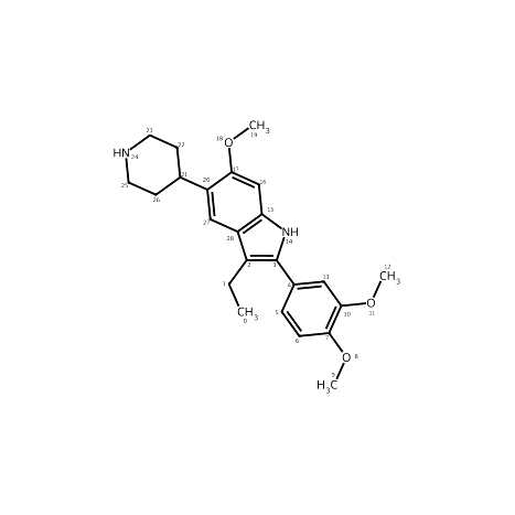 CCc1c(-c2ccc(OC)c(OC)c2)[nH]c2cc(OC)c(C3CCNCC3)cc12